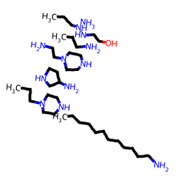 CCCCCCCCCCCCN.CCCN.CCCN1CCNCC1.CCCNNCCO.N.NC1CCNC1.NCCN1CCNCC1